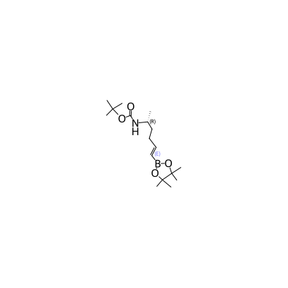 C[C@H](CC/C=C/B1OC(C)(C)C(C)(C)O1)NC(=O)OC(C)(C)C